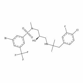 CN(C[C@H](O)CNC(C)(C)Cc1ccc(Cl)c(F)c1)S(=O)(=O)c1cc(Br)cc(C(F)(F)F)c1